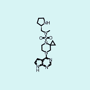 CN(C[C@H]1CCCN1)S(=O)(=O)N1CCN(c2ncnc3[nH]ccc23)CC12CC2